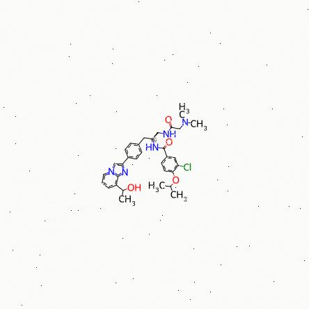 CC(C)Oc1ccc(C(=O)N[C@H](CNC(=O)CN(C)C)Cc2ccc(-c3cn4cccc(C(C)O)c4n3)cc2)cc1Cl